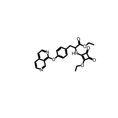 CCOC(=O)C(Cc1ccc(Oc2nccc3ccncc23)cc1)Nc1c(OCC)c(=O)c1=O